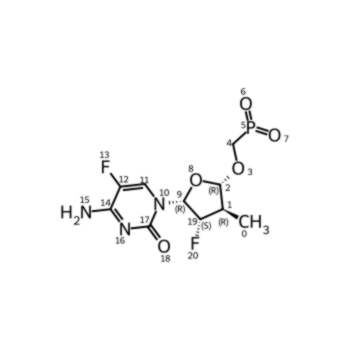 C[C@@H]1[C@@H](OCP(=O)=O)O[C@@H](n2cc(F)c(N)nc2=O)[C@H]1F